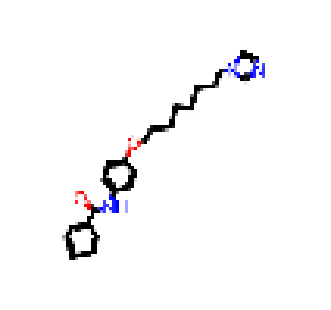 O=C(Nc1ccc(OCCCCCCCCn2ccnc2)cc1)c1ccccc1